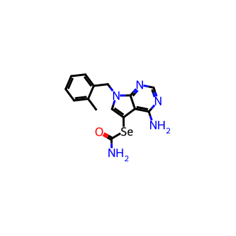 Cc1ccccc1Cn1cc([Se]C(N)=O)c2c(N)ncnc21